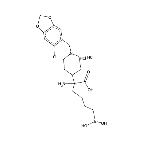 Cl.Cl.NC(CCCCB(O)O)(C(=O)O)C1CCN(Cc2cc3c(cc2Cl)OCO3)CC1